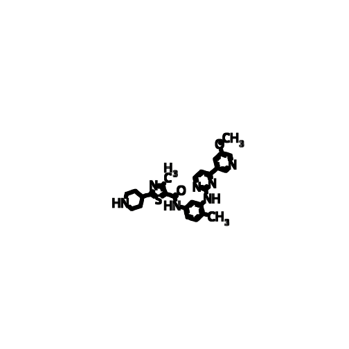 COc1cncc(-c2ccnc(Nc3cc(NC(=O)c4sc(C5CCNCC5)nc4C)ccc3C)n2)c1